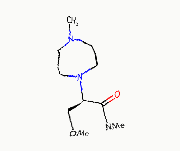 CNC(=O)[C@@H](COC)N1CCN(C)CC1